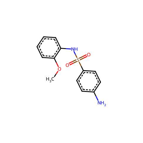 COc1ccccc1NS(=O)(=O)c1ccc(N)cc1